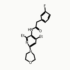 CCc1cc(N2CCOCC2)nc(CC)c1NC(=O)Cc1cccc(F)c1